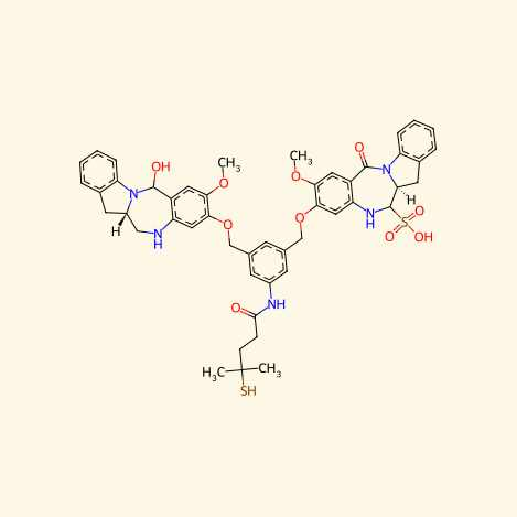 COc1cc2c(cc1OCc1cc(COc3cc4c(cc3OC)C(O)N3c5ccccc5C[C@H]3CN4)cc(NC(=O)CCC(C)(C)S)c1)NC(S(=O)(=O)O)[C@@H]1Cc3ccccc3N1C2=O